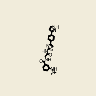 CN(C)Nc1cccc(C(=O)NCC(=O)Nc2nc(-c3ccc(-c4cc[nH]n4)cc3)cs2)c1